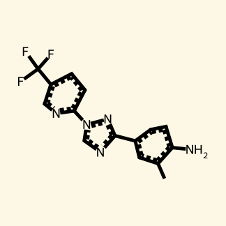 Cc1cc(-c2ncn(-c3ccc(C(F)(F)F)cn3)n2)ccc1N